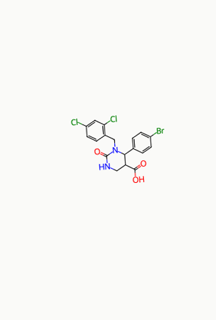 O=C(O)C1CNC(=O)N(Cc2ccc(Cl)cc2Cl)C1c1ccc(Br)cc1